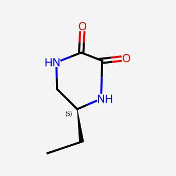 CC[C@H]1CNC(=O)C(=O)N1